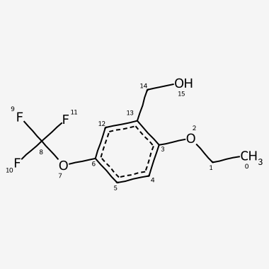 CCOc1ccc(OC(F)(F)F)cc1CO